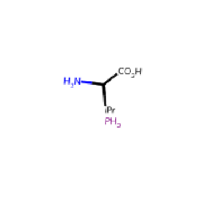 CC(C)C(N)C(=O)O.P